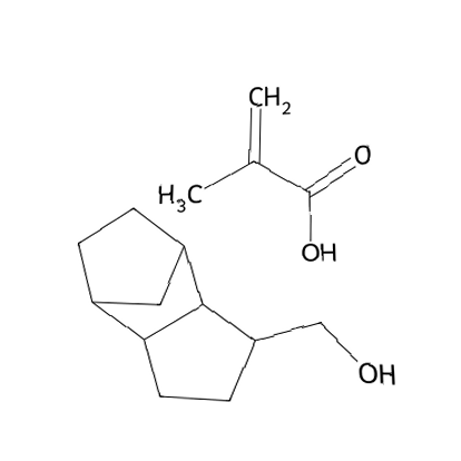 C=C(C)C(=O)O.OCC1CCC2C3CCC(C3)C12